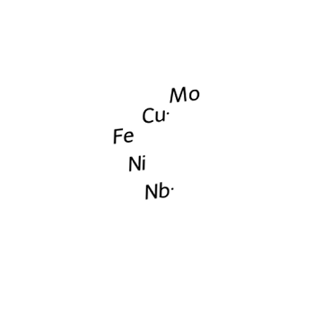 [Cu].[Fe].[Mo].[Nb].[Ni]